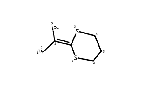 CC(C)C(=C1SCCCS1)C(C)C